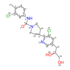 Cc1ccc(NC(=O)N2CC=C(c3ncc(C[C@H](O)CO)cc3Cl)CC2)cc1Cl